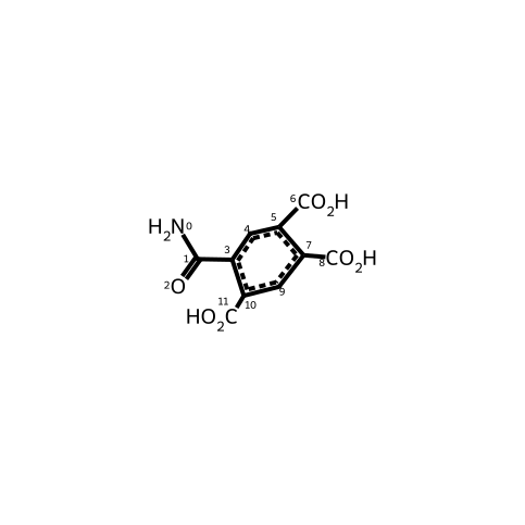 NC(=O)c1cc(C(=O)O)c(C(=O)O)cc1C(=O)O